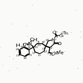 COCC1C(=O)N(C(=O)OC(C)(C)C)CC12CCCC(c1ccccc1)(N(C)C)CC2